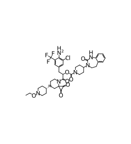 CCON1CCC([C@@H]2CCN(C(=O)C(Cc3cc(Cl)c(N)c(C(F)(F)F)c3)OC(=O)N3CCC(N4CCc5ccccc5NC4=O)CC3)C3(C2)C(=O)C3=O)CC1